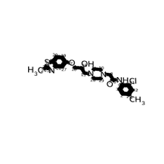 Cc1ccc(NC(=O)CN2CCN(CC(O)COc3ccc4sc(C)nc4c3)CC2)c(Cl)c1